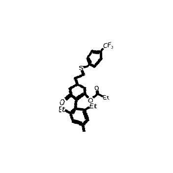 CCC(=O)OC1=C(c2c(CC)cc(C)cc2CC)C(=O)CC(CCSc2ccc(C(F)(F)F)cc2)C1